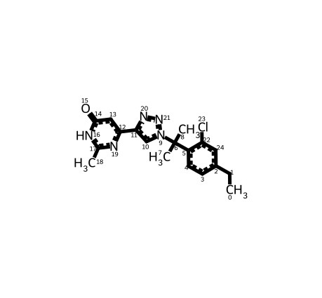 CCc1ccc(C(C)(C)n2cc(-c3cc(=O)[nH]c(C)n3)nn2)c(Cl)c1